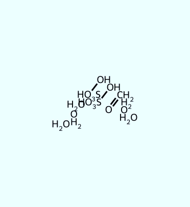 C=O.O.O.O.O.O.O=S(=O)(O)O.O=S(=O)(O)O